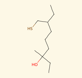 CCC(CS)CCCC(C)(O)CC